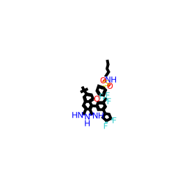 CCCCCNS(=O)(=O)c1ccc(Oc2cc(C(C)(C)C)cc3cc4c(c(-c5cc(C6CC(F)C(F)C6)cc(C(F)(F)F)c5)c23)C(=N)NC4=N)cc1